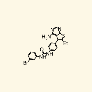 CCc1sc2ncnc(N)c2c1-c1ccc(NC(=O)Nc2cccc(Br)c2)cc1